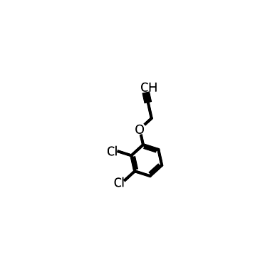 C#CCOc1cccc(Cl)c1Cl